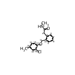 CNC(=O)Cc1ccccc1COc1ccc(C)cc1Cl